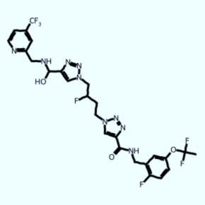 CC(F)(F)Oc1ccc(F)c(CNC(=O)c2cn(CCC(F)Cn3cc(C(O)NCc4cc(C(F)(F)F)ccn4)nn3)nn2)c1